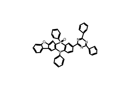 O=P1(c2ccccc2)c2cc(-c3nc(-c4ccccc4)nc(-c4ccccc4)n3)ccc2N(c2ccccc2)c2cc3c(cc21)oc1ccccc13